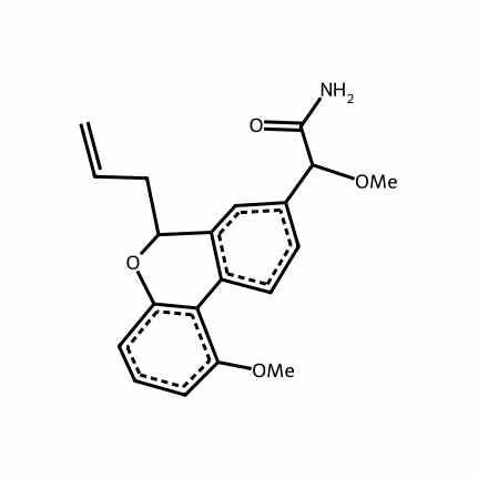 C=CCC1Oc2cccc(OC)c2-c2ccc(C(OC)C(N)=O)cc21